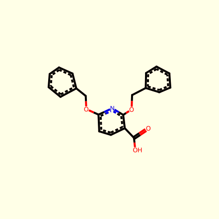 O=C(O)c1ccc(OCc2ccccc2)nc1OCc1ccccc1